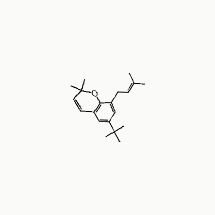 CC(C)=CCc1cc(C(C)(C)C)cc2c1OC(C)(C)C=C2